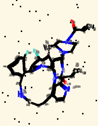 C=CC(=O)N1CCN(c2nc(=O)n3c4nc(c(F)cc24)-c2c(F)cccc2CNCCCc2ccnc(CCC)c2-3)[C@@H](C)C1